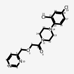 O=C(COCc1ccncn1)N1CCN(c2ccc(Cl)cc2Cl)CC1